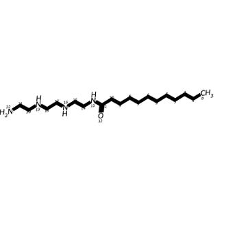 CCCCCCCCCCCC(=O)NCCNCCNCCN